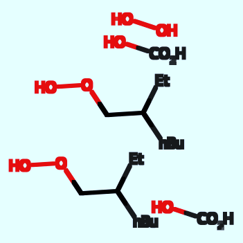 CCCCC(CC)COO.CCCCC(CC)COO.O=C(O)O.O=C(O)O.OO